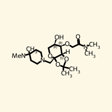 CNC1(C)CCN(C[C@@]23OC[C@@H](O)[C@@H](OCC(=O)N(C)C)[C@@H]2OC(C)(C)O3)CC1